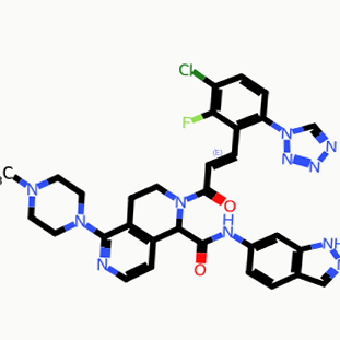 CN1CCN(c2nccc3c2CCN(C(=O)/C=C/c2c(-n4cnnn4)ccc(Cl)c2F)C3C(=O)Nc2ccc3cn[nH]c3c2)CC1